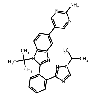 CC(C)n1cnc(-c2ccccc2-c2nc3cc(-c4cnc(N)nc4)ccc3n2C(C)(C)C)n1